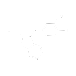 CCOC(=O)C1Oc2cnccc2C1Nc1ccc(Cl)c(OC)c1